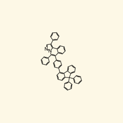 c1ccc(-c2cnn3c(-c4ccccc4)c(-c4ccc(-c5cccc6c5-c5ccccc5C6(c5ccccc5)c5ccccc5)cc4)c4ccccc4c23)cc1